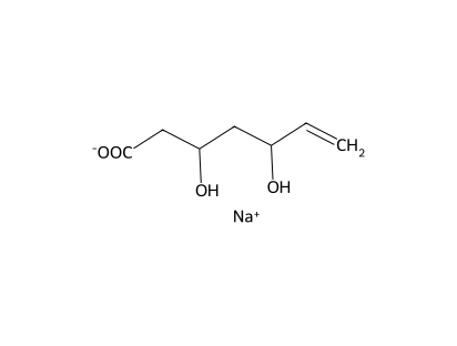 C=CC(O)CC(O)CC(=O)[O-].[Na+]